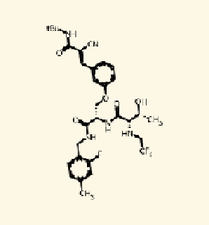 Cc1ccc(CNC(=O)[C@H](COc2cccc(/C=C(\C#N)C(=O)NC(C)(C)C)c2)NC(=O)[C@@H](NCC(F)(F)F)[C@@H](C)O)c(F)c1